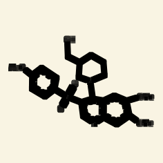 COc1ccc(S(=O)(=O)c2cnc3cc(OC)c(OC)cc3c2N2CCCC(CO)C2)cc1